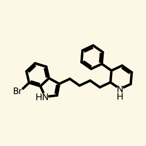 Brc1cccc2c(CCCCC3NCC=CC3c3ccccc3)c[nH]c12